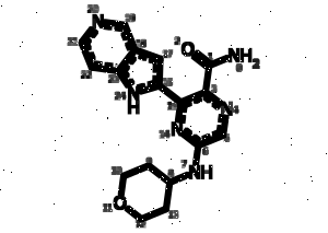 NC(=O)c1ncc(NC2CCOCC2)nc1-c1cc2cnccc2[nH]1